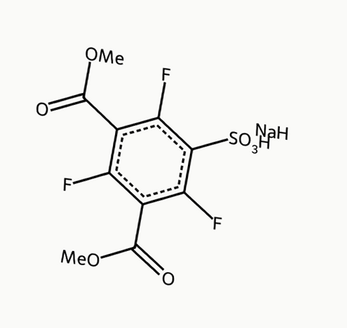 COC(=O)c1c(F)c(C(=O)OC)c(F)c(S(=O)(=O)O)c1F.[NaH]